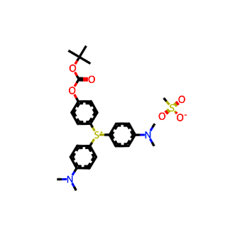 CN(C)c1ccc([S+](c2ccc(OC(=O)OC(C)(C)C)cc2)c2ccc(N(C)C)cc2)cc1.CS(=O)(=O)[O-]